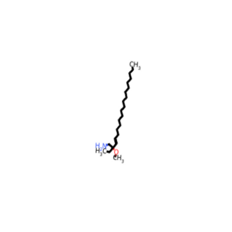 CCCCCCCCCCCCCCCCC=CC(CC)(CN)OC